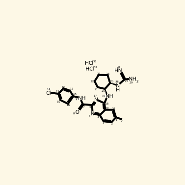 Cc1ccc2nc(C(=O)Nc3ccc(Cl)cc3)nc(N[C@H]3CCCC[C@H]3NC(=N)N)c2c1.Cl.Cl